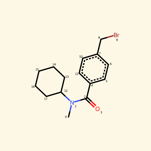 CN(C(=O)c1ccc(CBr)cc1)C1CCCCC1